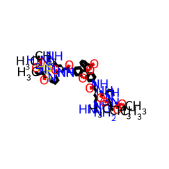 CCC(NC(=O)OC(C)C)C(=O)SN1CCC[C@H]1C(=O)N[C@@H](CCCN(S)C(=N)N)C(=O)Nc1ccc2c(c1)Oc1cc(NC(=O)[C@H](CCCNC(=N)N)NC(=O)[C@@H]3CCCN3C(=O)C(NC(=O)OC(C)C)C(C)C)ccc1C21OC(=O)c2ccccc21